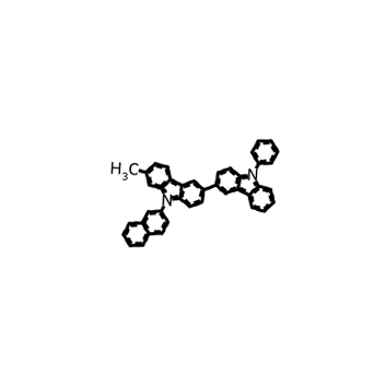 Cc1ccc2c3cc(-c4ccc5c(c4)c4ccccc4n5-c4ccccc4)ccc3n(-c3ccc4ccccc4c3)c2c1